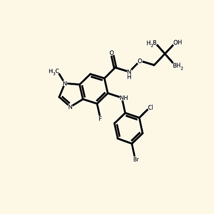 BC(B)(O)CONC(=O)c1cc2c(ncn2C)c(F)c1Nc1ccc(Br)cc1Cl